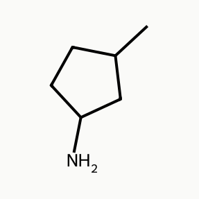 CC1CCC(N)C1